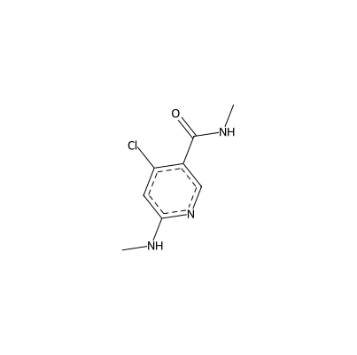 CNC(=O)c1cnc(NC)cc1Cl